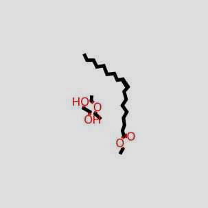 CCCCCCCC/C=C\CCCCCCCC(=O)OCC.CCOCC.OCCO